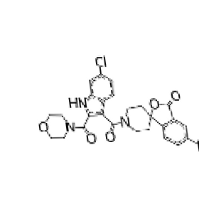 O=C1OC2(CCN(C(=O)c3c(C(=O)N4CCOCC4)[nH]c4cc(Cl)ccc34)CC2)c2ccc(F)cc21